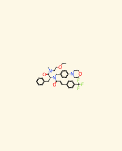 CCOCCN(C)C(=O)[C@H](Cc1ccccc1)N(Cc1ccc(N2CCOCC2)cc1)C(=O)/C=C/c1ccc(C(F)(F)F)cc1